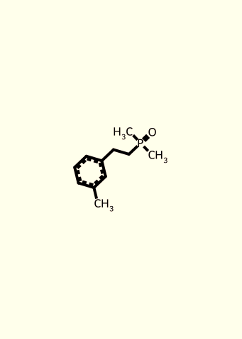 Cc1cccc(CCP(C)(C)=O)c1